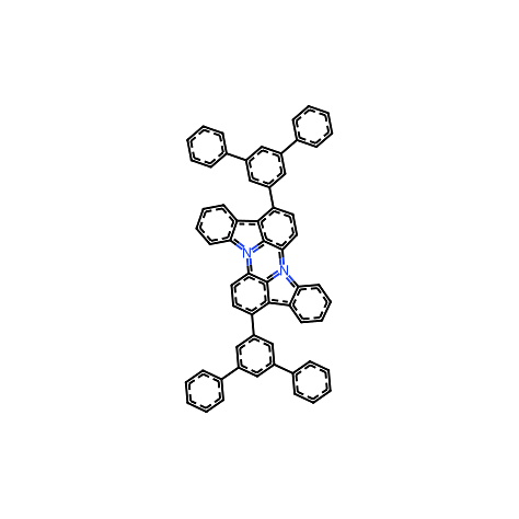 c1ccc(-c2cc(-c3ccccc3)cc(-c3ccc4c5c3c3ccccc3n5c3ccc(-c5cc(-c6ccccc6)cc(-c6ccccc6)c5)c5c6ccccc6n4c53)c2)cc1